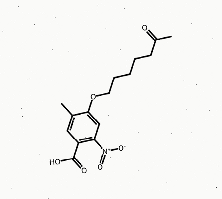 CC(=O)CCCCCOc1cc([N+](=O)[O-])c(C(=O)O)cc1C